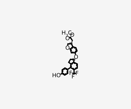 COC(=O)C[C@@H]1COc2cc(O[C@@H]3CCc4c3ccc(C(F)(F)F)c4-c3ccc(O)cc3)ccc21